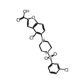 O=C(O)c1cc2c(Cl)c(N3CCN(S(=O)(=O)c4cccc(Cl)c4)CC3)ccc2o1